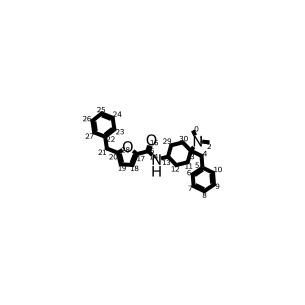 CN(C)C1(Cc2ccccc2)CCC(NC(=O)c2ccc(Cc3ccccc3)o2)CC1